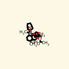 CC(=O)O[C@@H]1[CH][C@@]2(O)[C@H](C)CC[C@@H](C(C)CN3C4CCC3CC(Sc3ccc(F)cc3)C4)[C@H]2C=C1C